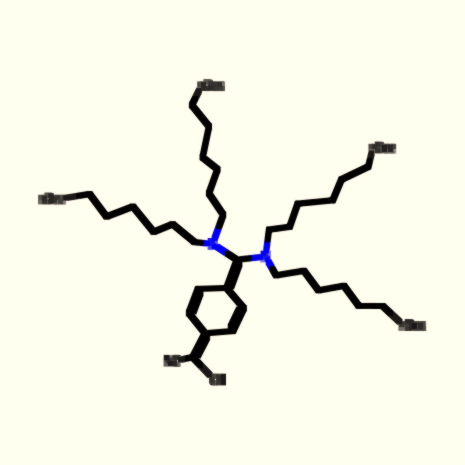 CCCCCCCCCCCCCCCCN(CCCCCCCCCCCCCCCC)C(=c1ccc(=C(C#N)C#N)cc1)N(CCCCCCCCCCCCCCCC)CCCCCCCCCCCCCCCC